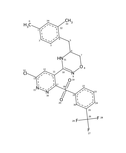 Cc1ccc(CC2CON=C(c3cc(Cl)nnc3S(=O)(=O)c3cccc(C(F)(F)F)c3)N2)c(C)c1